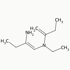 C=C(CC)N(/C=C(\N)CC)CC